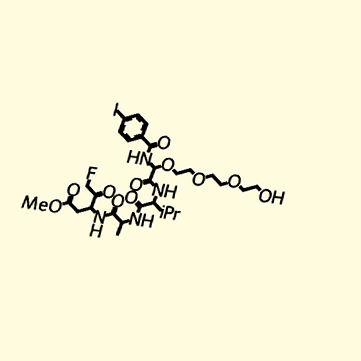 COC(=O)CC(NC(=O)C(C)NC(=O)C(NC(=O)C(NC(=O)c1ccc(I)cc1)OCCOCCOCCO)C(C)C)C(=O)CF